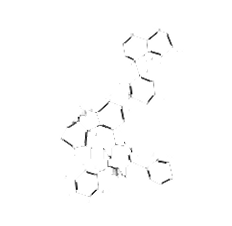 c1ccc(C2=NC(c3cc(-c4cccc(-c5cccc6ccccc56)c4)cc4sc5ccccc5c34)NC(c3ccccc3)=N2)cc1